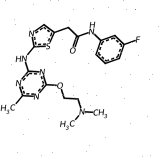 Cc1nc(Nc2ncc(CC(=O)Nc3cccc(F)c3)s2)nc(OCCN(C)C)n1